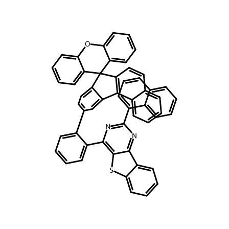 c1ccc2c(c1)Oc1ccccc1C21c2ccc(-c3ccccc3-c3nc(-c4cccc5ccccc45)nc4c3sc3ccccc34)cc2-c2c1ccc1ccccc21